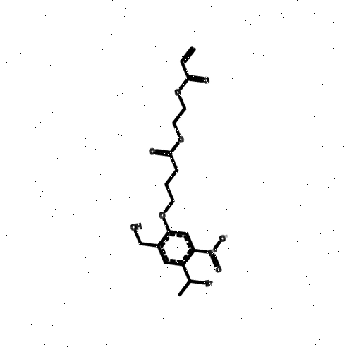 C=CC(=O)OCCOC(=O)CCCOc1cc([N+](=O)[O-])c(C(C)Br)cc1CO